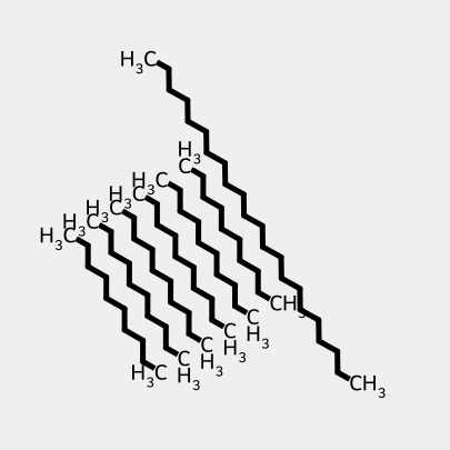 CCCCCCCCCC.CCCCCCCCCC.CCCCCCCCCC.CCCCCCCCCC.CCCCCCCCCC.CCCCCCCCCC.CCCCCCCCCCCCCCCCCCCCCC